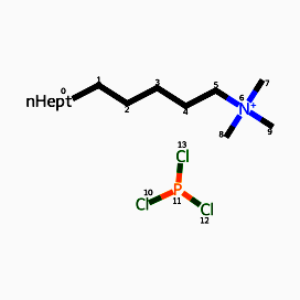 CCCCCCCCCCCC[N+](C)(C)C.ClP(Cl)Cl